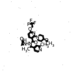 COC1CCN(c2nc(OCC(F)(F)F)ccc2C(=O)NC(C)c2ccnc(C)c2)CC1.O=C1CN1